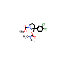 CN(C)C(=O)OCC1(c2ccc(Cl)c(Cl)c2)CCCN(C(=O)OC(C)(C)C)C1